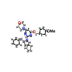 COc1ccc(COc2cc(N3CCOCC3)nc(N3CC4(CCCC4)CC3Cc3ccccc3)n2)cc1